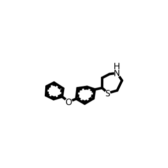 c1ccc(Oc2ccc(C3CCNCCS3)cc2)cc1